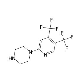 FC(F)(F)c1cnc(N2CCNCC2)cc1C(F)(F)F